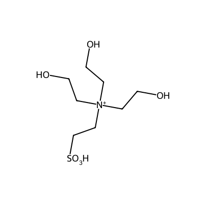 O=S(=O)(O)CC[N+](CCO)(CCO)CCO